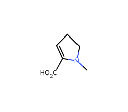 CN1CCC=C1C(=O)O